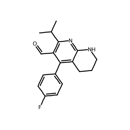 CC(C)c1nc2c(c(-c3ccc(F)cc3)c1C=O)CCCN2